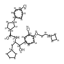 O=C(NC(CN1CCCC1)C(O)c1ccc(OCCN2CCC2)c(Cl)c1)[C@H]1CCN(c2ccc(Cl)cc2)C1